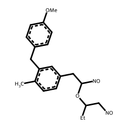 CCC(CN=O)OC(Cc1ccc(C)c(Cc2ccc(OC)cc2)c1)N=O